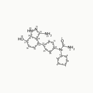 NC(=O)N(c1ccccc1)c1ccc(-c2ccc(O)c3[nH]nc(N)c23)cc1